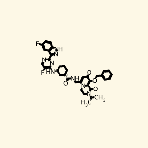 CC(C)N1CCn2c(CNC(=O)[C@H]3CCC[C@@H](Nc4nc(-c5n[nH]c6ccc(F)cc56)ncc4F)C3)cc(=O)c(OCc3ccccc3)c2C1=O